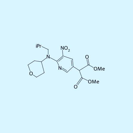 COC(=O)C(C(=O)OC)c1cnc(N(CC(C)C)C2CCOCC2)c([N+](=O)[O-])c1